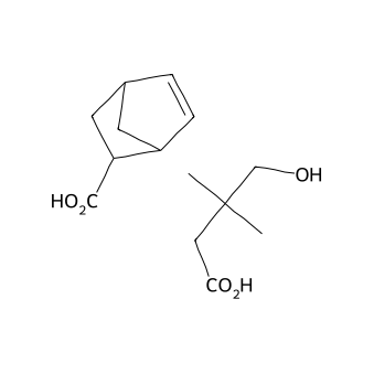 CC(C)(CO)CC(=O)O.O=C(O)C1CC2C=CC1C2